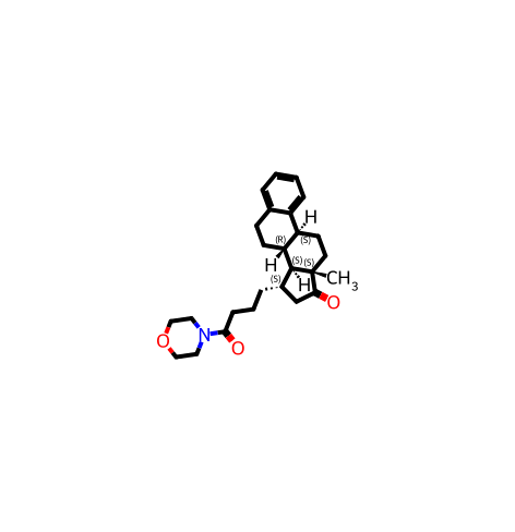 C[C@]12CC[C@@H]3c4ccccc4CC[C@H]3[C@@H]1[C@@H](CCCC(=O)N1CCOCC1)CC2=O